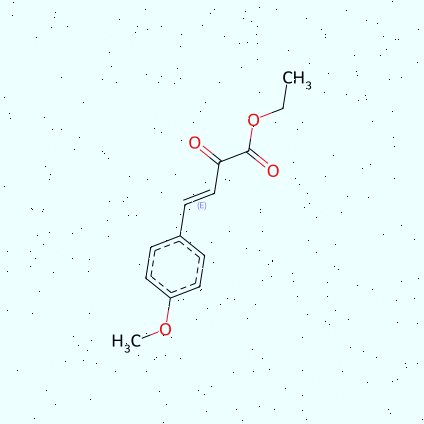 CCOC(=O)C(=O)/C=C/c1ccc(OC)cc1